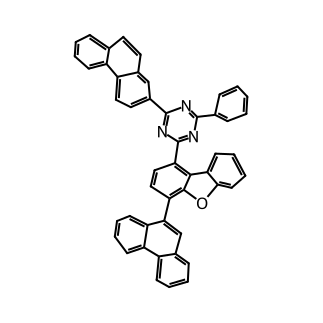 c1ccc(-c2nc(-c3ccc4c(ccc5ccccc54)c3)nc(-c3ccc(-c4cc5ccccc5c5ccccc45)c4oc5ccccc5c34)n2)cc1